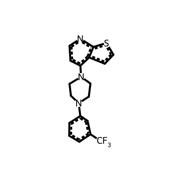 FC(F)(F)c1cccc(N2CCN(c3ccnc4sccc34)CC2)c1